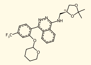 CC1(C)OC[C@H](CNc2nnc(-c3ccc(C(F)(F)F)cc3OC3CCCCO3)c3ccccc23)O1